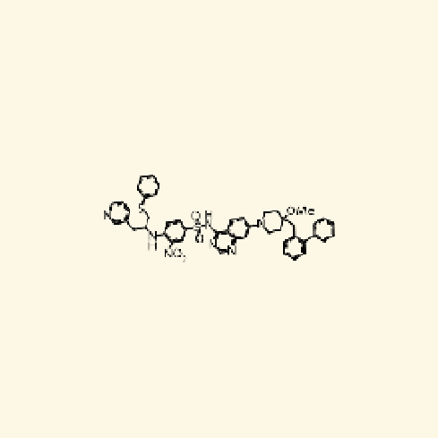 COC1(Cc2ccccc2-c2ccccc2)CCN(c2ccc3c(NS(=O)(=O)c4ccc(N[C@H](CSc5ccccc5)Cc5cccnc5)c([N+](=O)[O-])c4)ncnc3c2)CC1